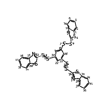 c1ccc2sc(SSc3cc(SSc4nc5ccccc5s4)cc(SSc4nc5ccccc5s4)c3)nc2c1